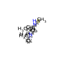 C=C(CCC(C)(C)C)N(/C=C(\C)c1ccccc1)Cc1ccc(CCNCCSC)cc1